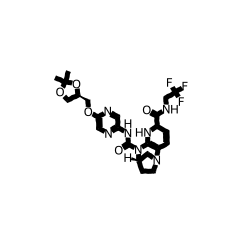 CC1(C)OC[C@H](COc2cnc(NC(=O)N3C4=C(C=CC(C(=O)NCC(F)(F)F)N4)N4CC[C@H]3C4)cn2)O1